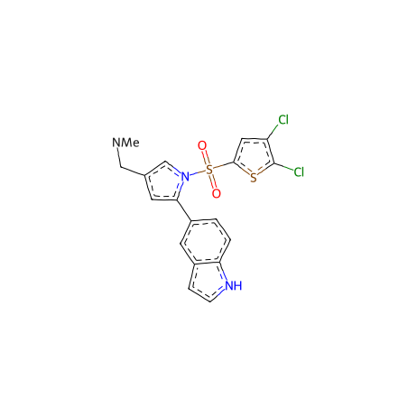 CNCc1cc(-c2ccc3[nH]ccc3c2)n(S(=O)(=O)c2cc(Cl)c(Cl)s2)c1